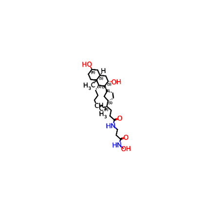 CCCC[C@H]1[C@H]([C@@H]2CC[C@H]([C@H](C)CCC(=O)NCCC(=O)NO)C2)[C@@H](O)C[C@@H]2C[C@H](O)CC[C@@]21C